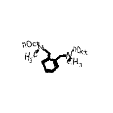 CCCCCCCCN(C)Cc1ccccc1CN(C)CCCCCCCC